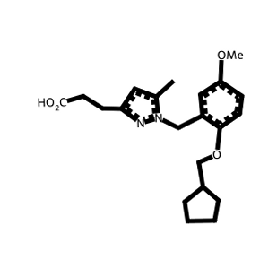 COc1ccc(OCC2CCCC2)c(Cn2nc(CCC(=O)O)cc2C)c1